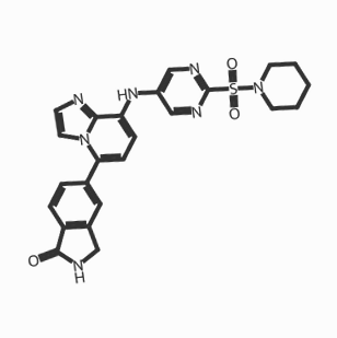 O=C1NCc2cc(-c3ccc(Nc4cnc(S(=O)(=O)N5CCCCC5)nc4)c4nccn34)ccc21